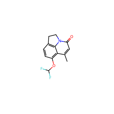 Cc1cc(=O)n2c3c(ccc(OC(F)F)c13)CC2